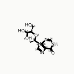 C[C@@H](O[C@H](CO)C(O)O)n1cnc2c(=O)[nH]cnc21